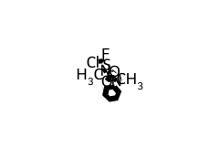 CN(SC(F)Cl)S(=O)(=O)N(C)c1ccccc1